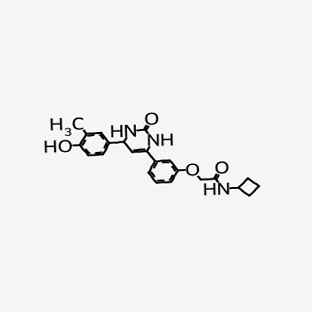 Cc1cc(C2C=C(c3cccc(OCC(=O)NC4CCC4)c3)NC(=O)N2)ccc1O